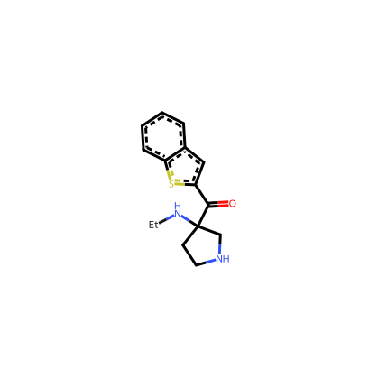 CCNC1(C(=O)c2cc3ccccc3s2)CCNC1